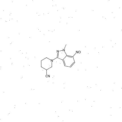 Cn1nc(N2CCCC(C#N)C2)c2cccc(N=O)c21